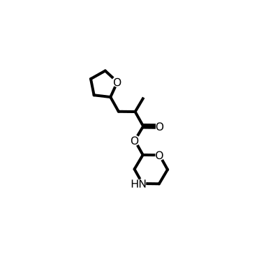 CC(CC1CCCO1)C(=O)OC1CNCCO1